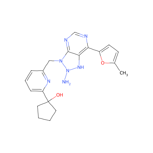 Cc1ccc(-c2ncnc3c2NN(N)N3Cc2cccc(C3(O)CCCC3)n2)o1